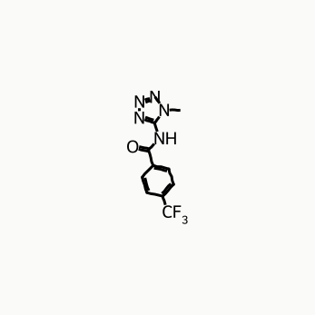 Cn1nnnc1NC(=O)c1ccc(C(F)(F)F)cc1